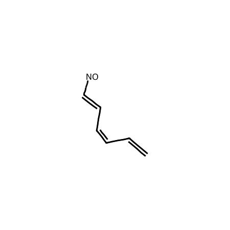 C=C/C=C\C=C\N=O